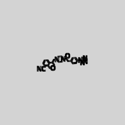 N#Cc1cccc2c1COCC2CN1CCN(C(=O)Cc2ccc(-n3cnnn3)cc2)CC1